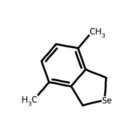 Cc1ccc(C)c2c1C[Se]C2